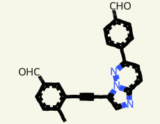 Cc1ccc(C=O)cc1C#Cc1cnc2ccc(-c3ccc(C=O)cc3)nn12